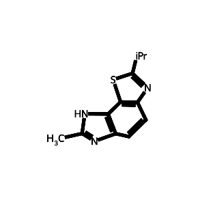 Cc1nc2ccc3nc(C(C)C)sc3c2[nH]1